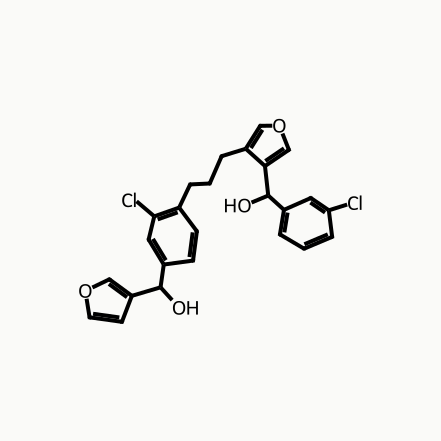 OC(c1ccoc1)c1ccc(CCCc2cocc2C(O)c2cccc(Cl)c2)c(Cl)c1